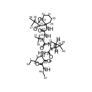 CCCC[C@@H](NC(=O)[C@@H]1[C@@H]2[C@H](CN1C(=O)[C@@H](NC(=O)NC1(CS(=O)(=O)C(C)(C)C)CCCCC1)C(C)(C)C)C2(C)C)C(=O)C(=O)NCC